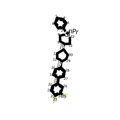 CCC[Si]1(c2ccccc2)CCC([C@H]2CC[C@H](c3ccc(-c4ccc(F)c(F)c4)cc3)CC2)CC1